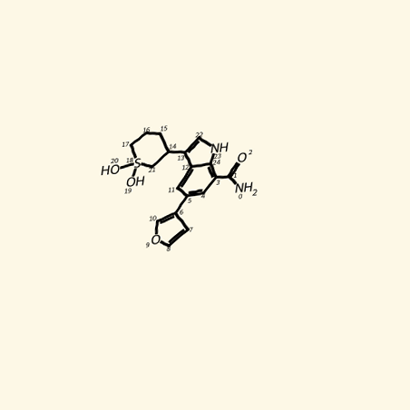 NC(=O)c1cc(-c2ccoc2)cc2c(C3CCCS(O)(O)C3)c[nH]c12